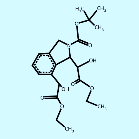 CCOC(=O)C(O)c1cccc2c1C(C(O)C(=O)OCC)N(C(=O)OC(C)(C)C)C2